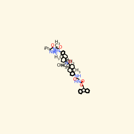 CC(C)[C@H](N)C(=O)N[C@@H](C)C(=O)Nc1ccc2c(c1)[C@@]1(C)CCC[C@](C)(N(C=O)C(=O)[C@@]3(C)CCC[C@]4(C)c5cc(NC(=O)CNC(=O)OCC6c7ccccc7-c7ccccc76)ccc5CC[C@@H]34)[C@@H]1CC2